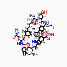 CC(=O)N1CC[C@H]2CC[C@@H](C(=O)N[C@@H](CCC(N)=O)COc3cccc(CCCC(=O)N[C@H](C(=O)N4C[C@H](O)C[C@H]4C(=O)N[C@@H](C)c4ccc(-c5scnc5C)cc4)C(C)(C)C)c3F)N2C(=O)[C@@H](NC(=O)c2cc3cc(C(=O)P(=O)(O)O)ccc3[nH]2)C1